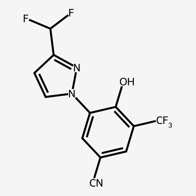 N#Cc1cc(-n2ccc(C(F)F)n2)c(O)c(C(F)(F)F)c1